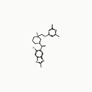 Cc1cc(OC[C@@]2(C)CCCN(C(C)c3cc4nc(C)oc4cc3F)C2)cc(C)n1